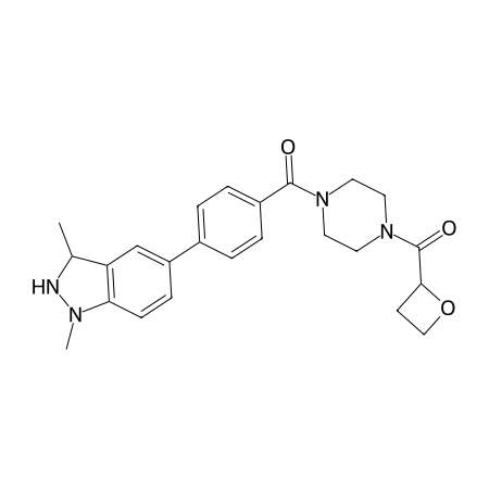 CC1NN(C)c2ccc(-c3ccc(C(=O)N4CCN(C(=O)C5CCO5)CC4)cc3)cc21